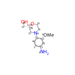 COc1cc(N)ccc1N1CCO[C@@H](CO)C1